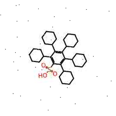 O=S(=O)(O)c1c(C2CCCCC2)c(C2CCCCC2)c(C2CCCCC2)c(C2CCCCC2)c1C1CCCCC1